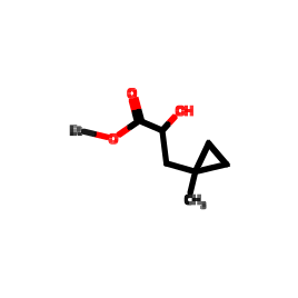 CCOC(=O)C(O)CC1(C)CC1